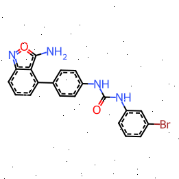 Nc1onc2cccc(-c3ccc(NC(=O)Nc4cccc(Br)c4)cc3)c12